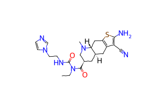 CCN(C(=O)NCCn1ccnc1)C(=O)[C@@H]1C[C@@H]2Cc3c(sc(N)c3C#N)C[C@H]2N(C)C1